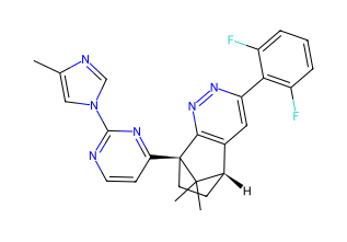 Cc1cn(-c2nccc([C@@]34CC[C@@H](c5cc(-c6c(F)cccc6F)nnc53)C4(C)C)n2)cn1